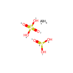 O=S(=O)(O)O.O=S(O)O.[AlH3]